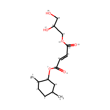 CC1CCC(C(C)C)C(OC(=O)C=CC(=O)OCC(O)CO)C1